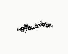 C[C@@H]1CN(CCO[C@H]2CC[C@H](N3C(=S)N(c4ccc(C#N)c(C(F)(F)F)c4)C(=O)C3(C)C)CC2)C[C@H](C)N1CC(=O)Nc1ccc(N2CCC(O)NC2=O)cc1